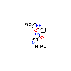 CCOC(=O)NC(=O)c1ccccc1NC(=O)c1ccnc(NC(C)=O)c1